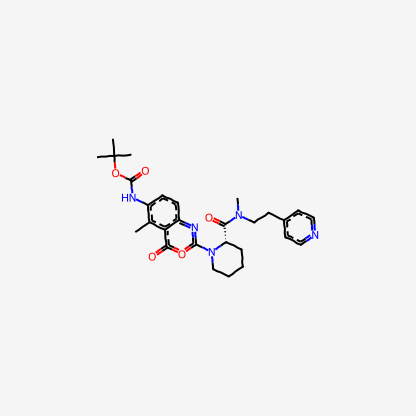 Cc1c(NC(=O)OC(C)(C)C)ccc2nc(N3CCCC[C@H]3C(=O)N(C)CCc3ccncc3)oc(=O)c12